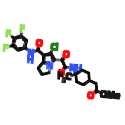 COC(=O)CC1CCC(NC(=O)C(=O)c2c(Cl)c(C(=O)Nc3cc(F)c(F)c(F)c3)c3n2CCC3)(C(F)(F)F)CC1